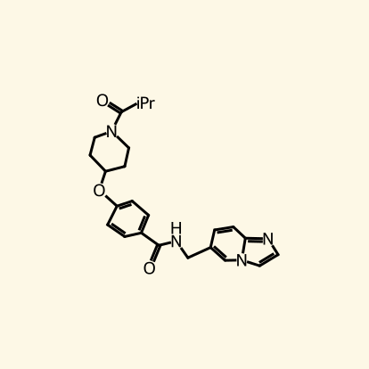 CC(C)C(=O)N1CCC(Oc2ccc(C(=O)NCc3ccc4nccn4c3)cc2)CC1